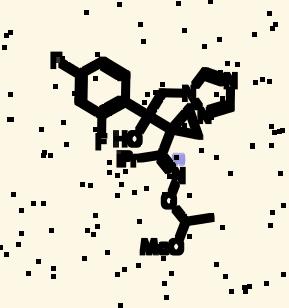 COC(C)O/N=C(\C(C)C)C1(C(O)(Cn2cncn2)c2ccc(F)cc2F)CC1